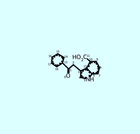 O=C(Cc1c[nH]c2cccc(C(=O)O)c12)c1ccccc1